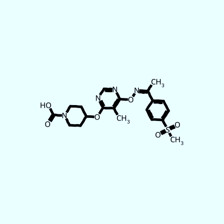 CC(=NOc1ncnc(OC2CCN(C(=O)O)CC2)c1C)c1ccc(S(C)(=O)=O)cc1